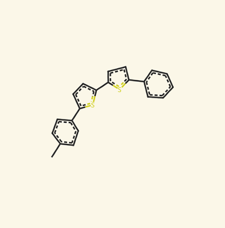 Cc1ccc(-c2ccc(-c3ccc(-c4ccccc4)s3)s2)cc1